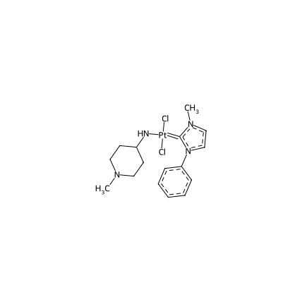 CN1CCC([NH][Pt]([Cl])([Cl])=[c]2n(C)ccn2-c2ccccc2)CC1